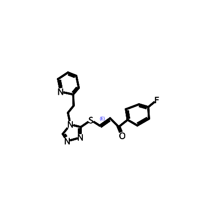 O=C(/C=C/Sc1nncn1CCc1ccccn1)c1ccc(F)cc1